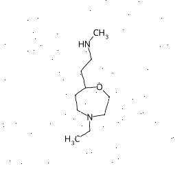 CCN1CCOC(CCNC)CC1